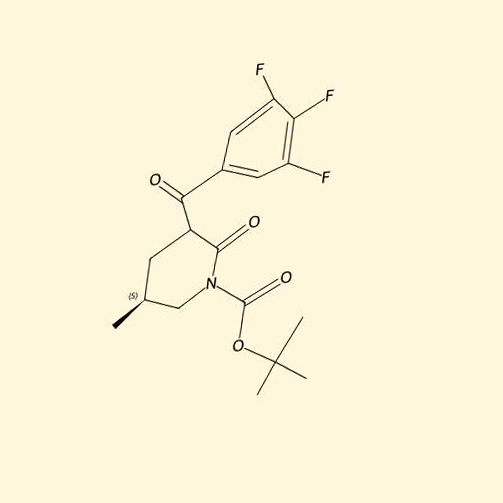 C[C@H]1CC(C(=O)c2cc(F)c(F)c(F)c2)C(=O)N(C(=O)OC(C)(C)C)C1